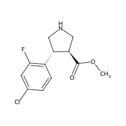 COC(=O)[C@@H]1CNC[C@H]1c1ccc(Cl)cc1F